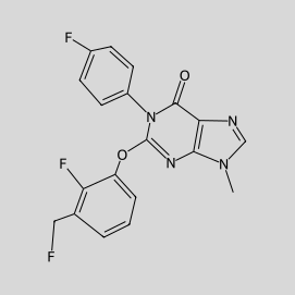 Cn1cnc2c(=O)n(-c3ccc(F)cc3)c(Oc3cccc(CF)c3F)nc21